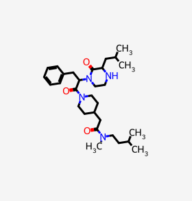 CC(C)CCN(C)C(=O)CC1CCN(C(=O)C(Cc2ccccc2)N2CCNC(CC(C)C)C2=O)CC1